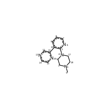 CN1CCN(c2ncccc2-c2cnccn2)CC1